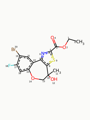 CCOC(=O)c1nc2c(s1)C(C)(O)COc1cc(F)c(Br)cc1-2